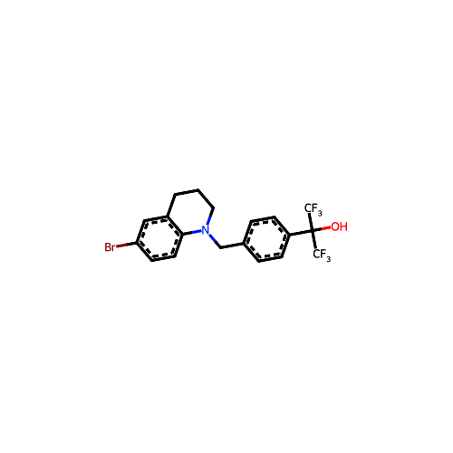 OC(c1ccc(CN2CCCc3cc(Br)ccc32)cc1)(C(F)(F)F)C(F)(F)F